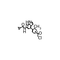 CC1CN(C(=O)CCl)CC=C1c1cc(NC(=O)C2CC2)nc2[nH]ccc12